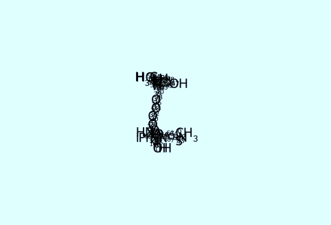 Cc1ncsc1-c1ccc(CNC(=O)[C@@H]2C[C@@H](O)CCN2C(=O)[C@@H](NC(=O)COCCOCCOCCOCCCC[C@@H]2Cc3cc(O)ccc3[C@H]3CC[C@]4(C)[C@@H](O)CC[C@H]4[C@H]23)C(C)C)cc1